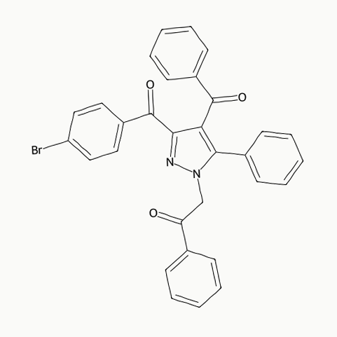 O=C(Cn1nc(C(=O)c2ccc(Br)cc2)c(C(=O)c2ccccc2)c1-c1ccccc1)c1ccccc1